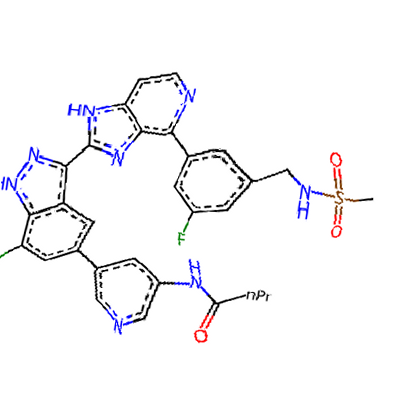 CCCC(=O)Nc1cncc(-c2cc(F)c3[nH]nc(-c4nc5c(-c6cc(F)cc(CNS(C)(=O)=O)c6)nccc5[nH]4)c3c2)c1